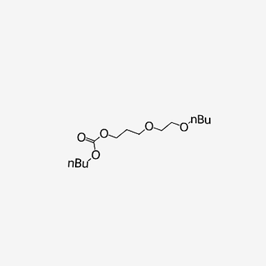 CCCCOCCOCCCOC(=O)OCCCC